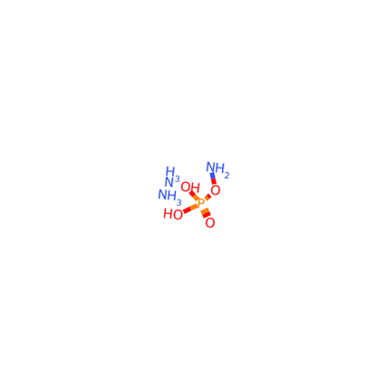 N.N.NOP(=O)(O)O